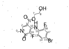 Cn1cc(C(=O)OCCO)c(Nc2ccc(Br)cc2F)c(F)c1=O